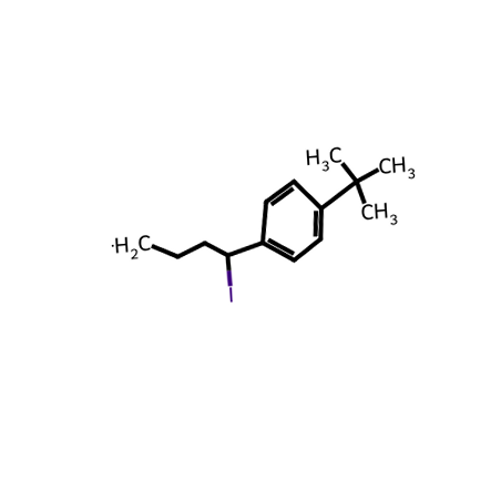 [CH2]CCC(I)c1ccc(C(C)(C)C)cc1